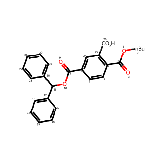 CCCCOC(=O)c1ccc(C(=O)OC(c2ccccc2)c2ccccc2)cc1C(=O)O